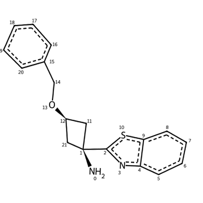 N[C@]1(c2nc3ccccc3s2)C[C@H](OCc2ccccc2)C1